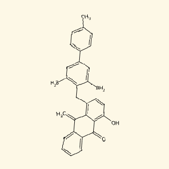 Bc1cc(-c2ccc(C)cc2)cc(B)c1Cc1ccc(O)c2c1C(=C)c1ccccc1C2=O